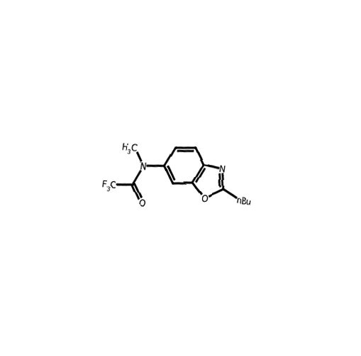 CCCCc1nc2ccc(N(C)C(=O)C(F)(F)F)cc2o1